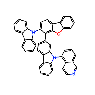 c1cc(-n2c3ccccc3c3ccc(-c4c(-n5c6ccccc6c6ccccc65)ccc5c4oc4ccccc45)cc32)c2ccncc2c1